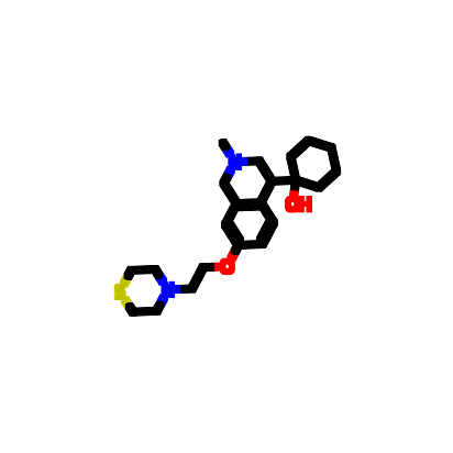 CN1Cc2cc(OCCN3CCSCC3)ccc2C(C2(O)CCCCC2)C1